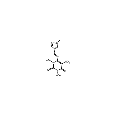 CCCCn1c(/C=C/c2cnn(C)c2)c([N+](=O)[O-])c(=O)n(CCCC)c1=O